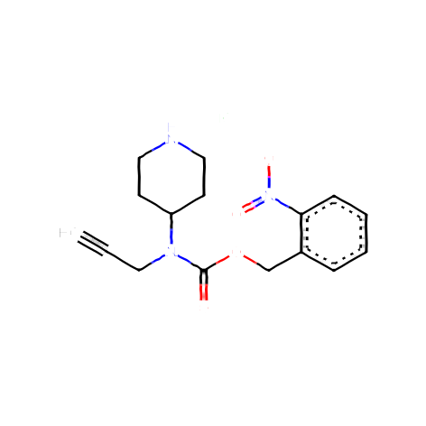 C#CCN(C(=O)OCc1ccccc1[N+](=O)[O-])C1CCNCC1.Cl